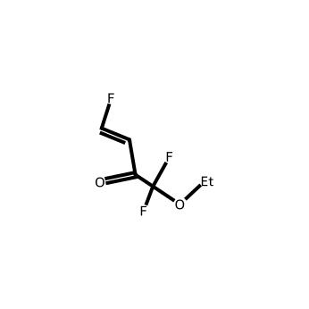 CCOC(F)(F)C(=O)C=CF